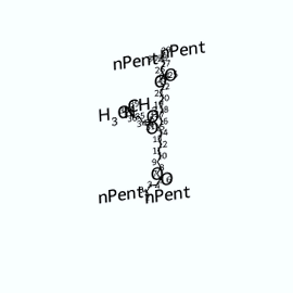 CCCCCC(CCCCC)CCC(=O)OCCCCCCCC(CCCCCCCOC(=O)CCC(CCCCC)CCCCC)OC(=O)CCCN(C)C